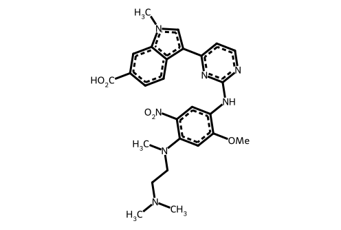 COc1cc(N(C)CCN(C)C)c([N+](=O)[O-])cc1Nc1nccc(-c2cn(C)c3cc(C(=O)O)ccc23)n1